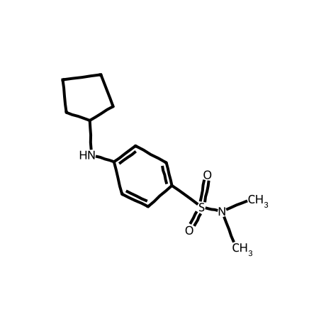 CN(C)S(=O)(=O)c1ccc(NC2CCCC2)cc1